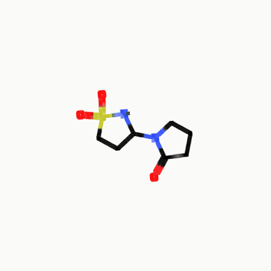 O=C1CCCN1C1CCS(=O)(=O)[N]1